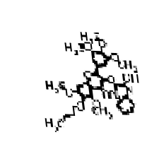 CCCCOc1c(OC)cc2oc(-c3cc(OC)c(OC)c(OC)c3)c(Oc3nc4ccccc4nc3O)c(=O)c2c1OC